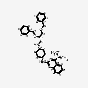 CN(C)c1nc(N[C@H]2CC[C@@H](NC[C@@H](COCc3ccccc3)OCc3ccccc3)CC2)nc2ccccc12